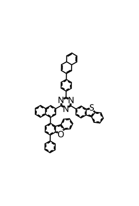 C1=CC2C=CC(c3ccc(-c4nc(-c5cc(-c6ccc(-c7ccccc7)c7oc8ccccc8c67)c6ccccc6c5)nc(-c5ccc6c(c5)sc5ccccc56)n4)cc3)=CC2C=C1